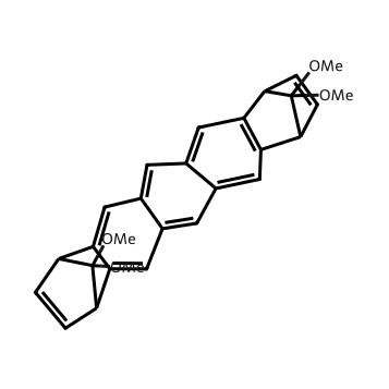 COC1(OC)C2C=CC1c1cc3cc4cc5c(cc4cc3cc12)C1C=CC5C1(OC)OC